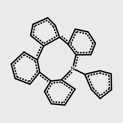 c1ccc(-n2c3ccccc3c3ccccc3c3ccccc3c3ccccc32)cc1